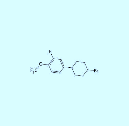 Fc1cc(C2CCC(Br)CC2)ccc1OC(F)(F)F